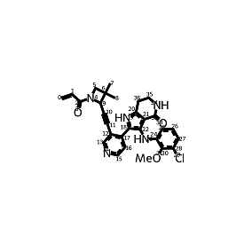 C=CC(=O)N1CC(C)(C)C1C#Cc1cnccc1-c1[nH]c2c(c1Nc1cccc(Cl)c1OC)C(=O)NCC2